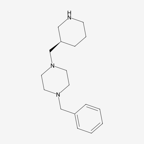 c1ccc(CN2CCN(C[C@@H]3CCCNC3)CC2)cc1